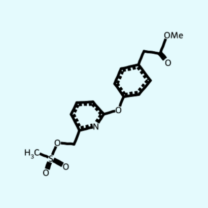 COC(=O)Cc1ccc(Oc2cccc(COS(C)(=O)=O)n2)cc1